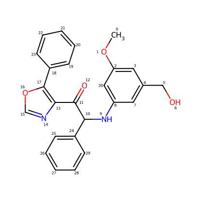 COc1cc(CO)cc(NC(C(=O)c2ncoc2-c2ccccc2)c2ccccc2)c1